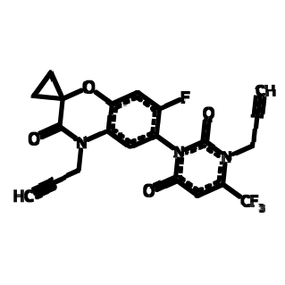 C#CCN1C(=O)C2(CC2)Oc2cc(F)c(-n3c(=O)cc(C(F)(F)F)n(CC#C)c3=O)cc21